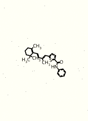 CC(C=CC1=C(C)CCCC1(C)C)=Cc1ccc(C(=O)Nc2ccccc2)s1